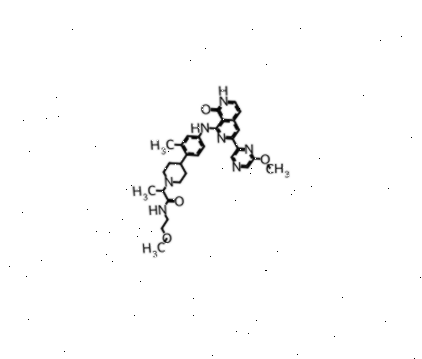 COCCNC(=O)C(C)N1CCC(c2ccc(Nc3nc(-c4cncc(OC)n4)cc4cc[nH]c(=O)c34)cc2C)CC1